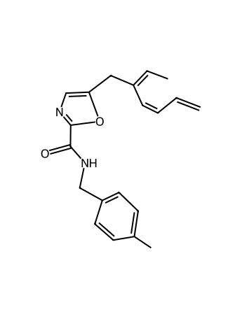 C=C/C=C\C(=C/C)Cc1cnc(C(=O)NCc2ccc(C)cc2)o1